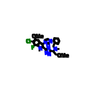 COCC(c1nnc(-c2c(-n3ccnc3)c3cc(OC)c(Cl)c(F)c3n2C)[nH]1)N(C)Cc1ccccc1